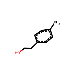 Bc1ccc(CCO)cc1